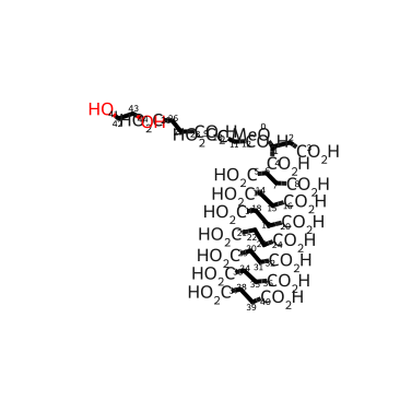 COC(CC(=O)O)C(=O)O.O=C(O)CCC(=O)O.O=C(O)CCC(=O)O.O=C(O)CCC(=O)O.O=C(O)CCC(=O)O.O=C(O)CCC(=O)O.O=C(O)CCC(=O)O.O=C(O)CCC(=O)O.O=C(O)CCC(=O)O.O=C(O)CCC(=O)O.OCCO